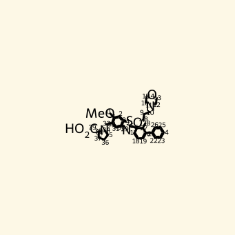 COc1cc2sc(C3(OCCCN4CCOCC4)C=CC=C(c4ccccc4)C3C)nc2cc1CN1CCC[C@H]1C(=O)O